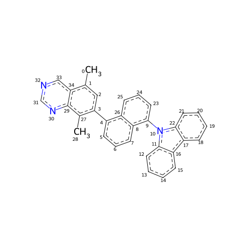 Cc1cc(-c2cccc3c(-n4c5ccccc5c5ccccc54)cccc23)c(C)c2ncncc12